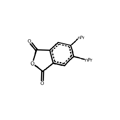 CCCc1cc2c(cc1CCC)C(=O)OC2=O